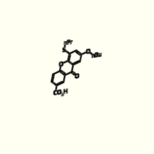 CCCCOc1cc(SCCC)c2oc3ccc(C(=O)O)cc3c(=O)c2c1